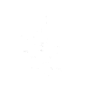 CN(C)C(=O)c1cccc(Nc2c(N[C@H](c3ccc(F)cc3)C3CC3)c(=O)c2=O)c1O